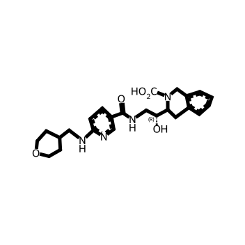 O=C(NC[C@@H](O)C1Cc2ccccc2CN1C(=O)O)c1ccc(NCC2CCOCC2)nc1